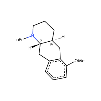 CCCN1CCC[C@H]2Cc3c(cccc3OC)C[C@@H]21